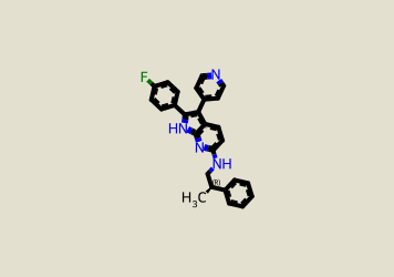 C[C@@H](CNc1ccc2c(-c3ccncc3)c(-c3ccc(F)cc3)[nH]c2n1)c1ccccc1